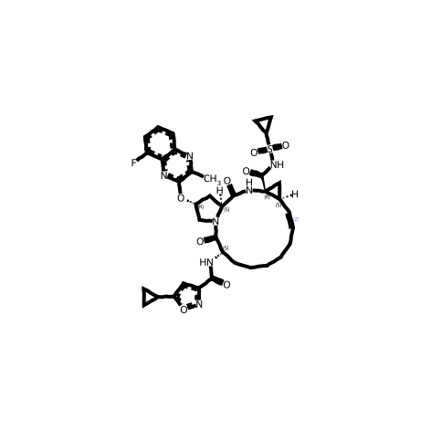 Cc1nc2cccc(F)c2nc1O[C@@H]1C[C@H]2C(=O)N[C@]3(C(=O)NS(=O)(=O)C4CC4)C[C@H]3/C=C\CCCCC[C@H](NC(=O)c3cc(C4CC4)on3)C(=O)N2C1